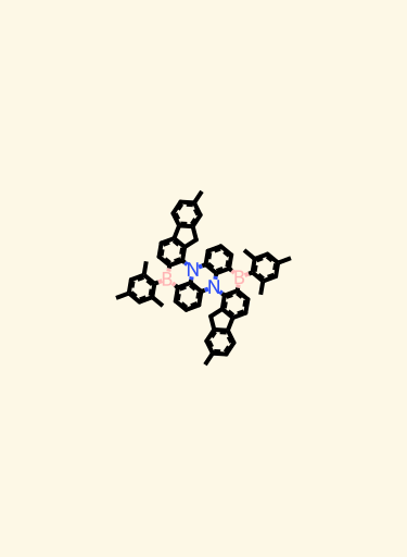 Cc1cc(C)c(B2c3cccc4c3N(c3cccc5c3N4c3c(ccc4c3Cc3cc(C)ccc3-4)B5c3c(C)cc(C)cc3C)c3c2ccc2c3Cc3cc(C)ccc3-2)c(C)c1